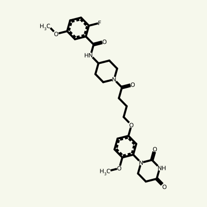 COc1ccc(F)c(C(=O)NC2CCN(C(=O)CCCOc3ccc(OC)c(N4CCC(=O)NC4=O)c3)CC2)c1